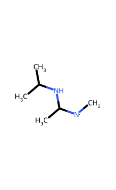 C[N]C(C)NC(C)C